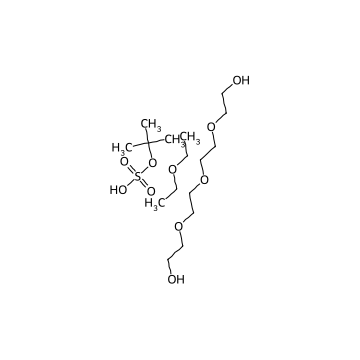 CC(C)(C)OS(=O)(=O)O.CCOCC.OCCOCCOCCOCCO